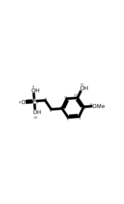 COc1ccc(CCP(=O)(O)O)cc1O